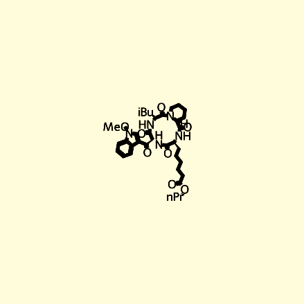 CCCOC(=O)CCCCC[C@@H]1NC(=O)[C@H]2CCCCN2C(=O)[C@H](C(C)CC)NC(=O)[C@H](C(=O)c2cn(OC)c3ccccc23)NC1=O